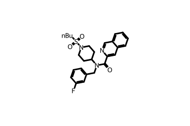 CCCCS(=O)(=O)N1CCC(N(Cc2cccc(F)c2)C(=O)c2cc3ccccc3cn2)CC1